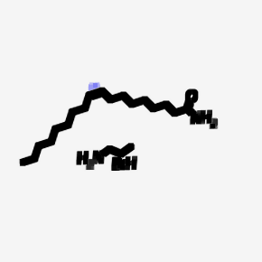 Br.CCCCCCCC/C=C\CCCCCCCC(N)=O.CCCN